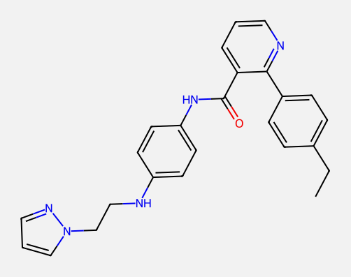 CCc1ccc(-c2ncccc2C(=O)Nc2ccc(NCCn3cccn3)cc2)cc1